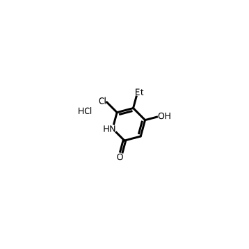 CCc1c(O)cc(=O)[nH]c1Cl.Cl